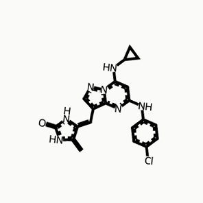 C=c1[nH]c(=O)[nH]/c1=C\c1cnn2c(NC3CC3)cc(Nc3ccc(Cl)cc3)nc12